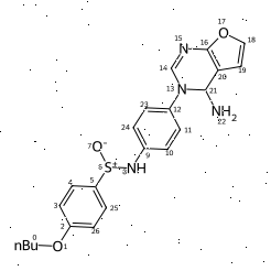 CCCCOc1ccc([S+]([O-])Nc2ccc(N3C=Nc4occc4C3N)cc2)cc1